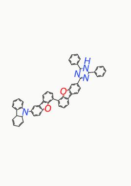 C1=CC2c3ccccc3N(c3ccc4oc5c(-c6cccc7c6oc6cc(C8=NC(c9ccccc9)NC(c9ccccc9)=N8)ccc67)cccc5c4c3)C2C=C1